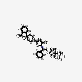 CC(C)(C)[Si](C)(C)OC/C(=C1/SC(N2CCC3(CC2)OC(=O)c2ccccc23)=NC1=O)c1ccccc1